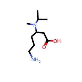 CC(C)N(C)C(CCCN)CC(=O)O